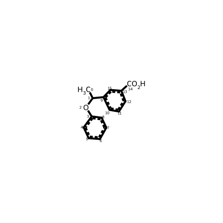 CC(Oc1ccccc1)c1cccc(C(=O)O)c1